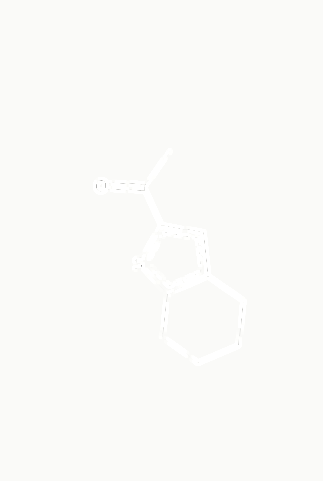 CC(=O)c1cc2c(s1)CCCC2